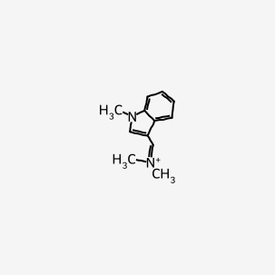 Cn1cc(C=[N+](C)C)c2ccccc21